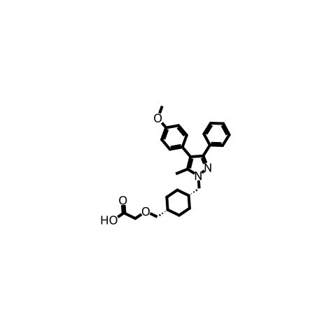 COc1ccc(-c2c(-c3ccccc3)nn(C[C@H]3CC[C@@H](COCC(=O)O)CC3)c2C)cc1